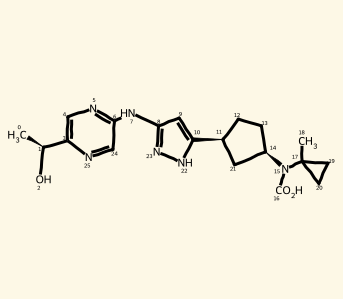 C[C@H](O)c1cnc(Nc2cc([C@H]3CC[C@@H](N(C(=O)O)C4(C)CC4)C3)[nH]n2)cn1